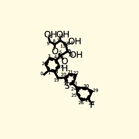 Cc1ccc([C@]2(O)OC(CO)C(O)[C@H](O)[C@H]2O)cc1Cc1ccc(-c2ccc(F)cc2)s1